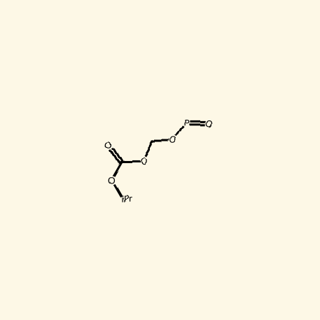 CC(C)OC(=O)OCOP=O